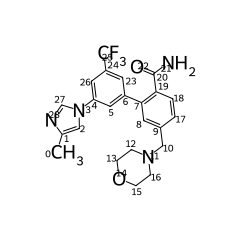 Cc1cn(-c2cc(-c3cc(CN4CCOCC4)ccc3C(N)=O)cc(C(F)(F)F)c2)cn1